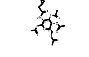 CC(=O)OC[C@H]1OC(OC(C)=O)[C@@H](NC(=O)CC2CC2)[C@@H](OC(C)=O)[C@@H]1OC(C)=O